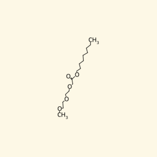 CCCCCCCCCOC(=O)COCCOCCOC